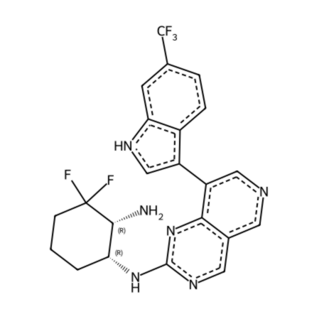 N[C@@H]1[C@H](Nc2ncc3cncc(-c4c[nH]c5cc(C(F)(F)F)ccc45)c3n2)CCCC1(F)F